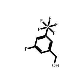 OCc1cc(F)cc(S(F)(F)(F)(F)F)c1